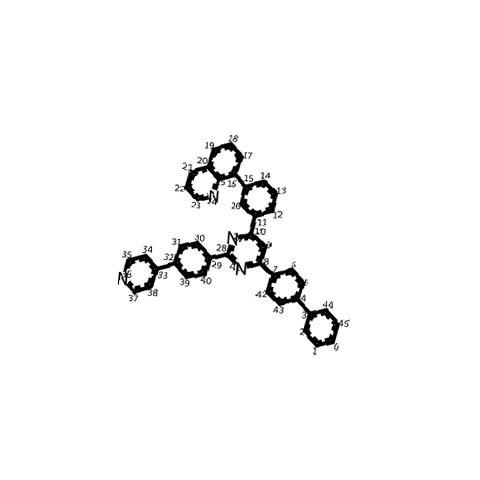 c1ccc(-c2ccc(-c3cc(-c4cccc(-c5cccc6cccnc56)c4)nc(-c4ccc(-c5ccncc5)cc4)n3)cc2)cc1